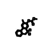 COC(=O)Oc1cc2c(cc1C)-c1ccccc1CS2(=O)=O